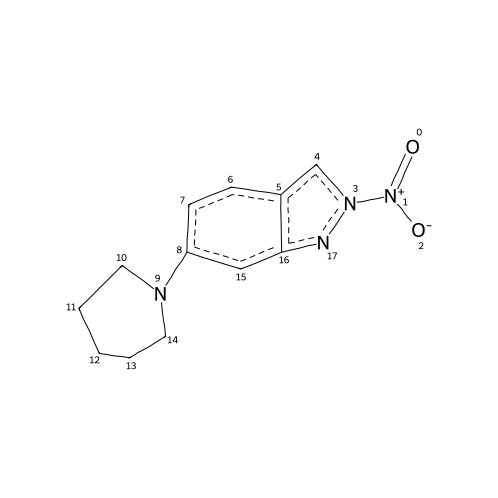 O=[N+]([O-])n1cc2ccc(N3CCCCC3)cc2n1